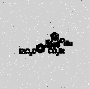 CCOC(=O)c1ccc(-c2nc([C@@H]3CCCN3C(=O)OC(C)(C)C)[nH]c2C(=O)OCC)cc1